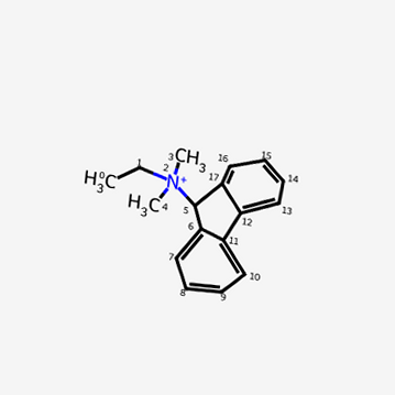 CC[N+](C)(C)C1c2ccccc2-c2ccccc21